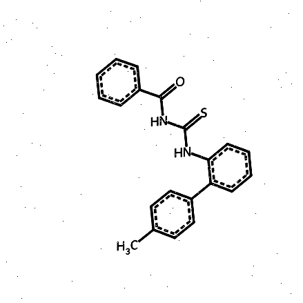 Cc1ccc(-c2ccccc2NC(=S)NC(=O)c2ccccc2)cc1